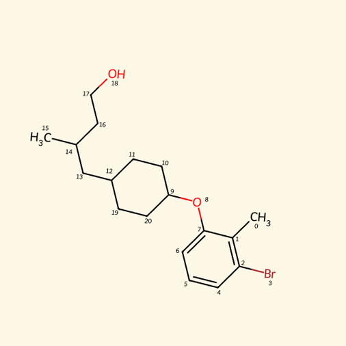 Cc1c(Br)cccc1OC1CCC(CC(C)CCO)CC1